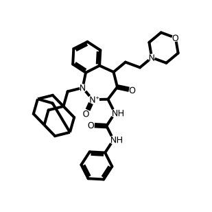 O=C(Nc1ccccc1)NC1C(=O)C(CCN2CCOCC2)c2ccccc2N(CC23CC4CC(CC(C4)C2)C3)[N+]1=O